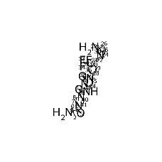 CC(C)(N)C(=O)N1CCN(C(=O)Nc2ccn(-c3ccc(CCN4CC5CC(N)(C5)C4)c(C(F)(F)F)c3)c(=O)n2)CC1